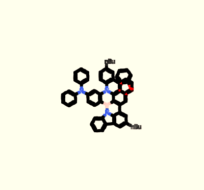 CCCCc1ccc(N2c3cc(N(c4ccccc4)c4ccccc4)ccc3B3c4c(cc5oc6ccccc6c5c42)-c2cc(CCCC)cc4c5ccccc5n3c24)c(-c2ccccc2)c1